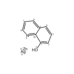 Oc1cccc2cccnc12.[Ag].[Zn]